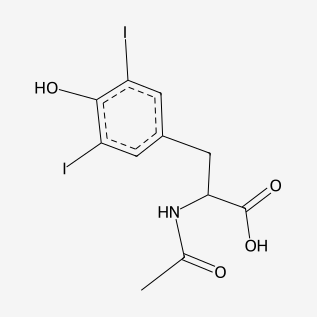 CC(=O)NC(Cc1cc(I)c(O)c(I)c1)C(=O)O